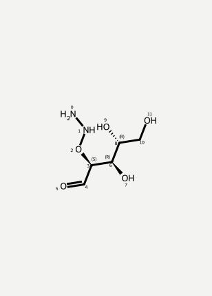 NNO[C@H](C=O)[C@H](O)[C@H](O)CO